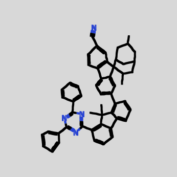 CC1CC2CC(C)C3(c4cc(C#N)ccc4-c4ccc(-c5cccc6c5C(C)(C)c5c(-c7nc(-c8ccccc8)nc(-c8ccccc8)n7)cccc5-6)cc43)C(C1)C2